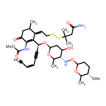 C#C/C=C\C#C[C@H](OC1CC(O)[C@H](NOC2CC[C@H](SC)C(C)O2)C(C)O1)C1=C(NC(=O)OC)C(=O)CC(C)/C1=C/CSSC(C)(C)CC(N)=O